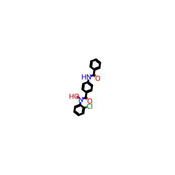 O=C(Nc1ccc(C(=O)N(O)c2ccccc2Cl)cc1)c1ccccc1